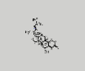 CC[C@H](/C=C/[C@@H](C)[C@H]1CC[C@H]2[C@@H]3C[C@@H](O)C4=CC(=O)CC[C@]4(C)[C@H]3CC[C@]12C)C(C)C